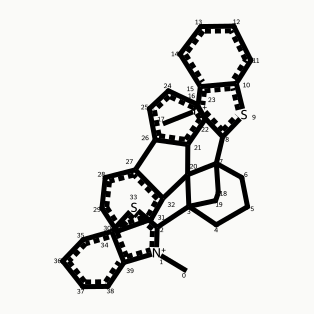 C[n+]1c(C23CCCC(c4sc5ccccc5[n+]4C)(CC2)C32c3ccccc3-c3ccccc32)sc2ccccc21